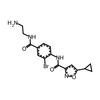 NCCNC(=O)c1ccc(NC(=O)c2cc(C3CC3)on2)c(Br)c1